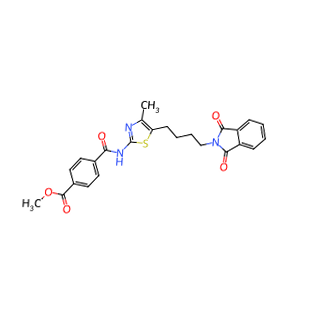 COC(=O)c1ccc(C(=O)Nc2nc(C)c(CCCCN3C(=O)c4ccccc4C3=O)s2)cc1